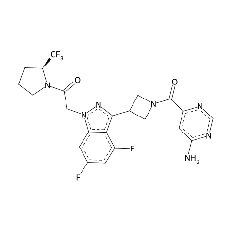 Nc1cc(C(=O)N2CC(c3nn(CC(=O)N4CCC[C@H]4C(F)(F)F)c4cc(F)cc(F)c34)C2)ncn1